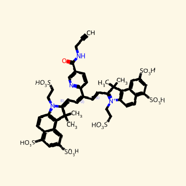 C#CCNC(=O)c1ccc(C(=C\C=C2\N(CCS(=O)(=O)O)c3ccc4c(S(=O)(=O)O)cc(S(=O)(=O)O)cc4c3C2(C)C)/C=C/C2=[N+](CCS(=O)(=O)O)c3ccc4c(S(=O)(=O)O)cc(S(=O)(=O)O)cc4c3C2(C)C)nc1